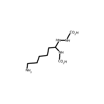 NCCCCCC(NNC(=O)O)NC(=O)O